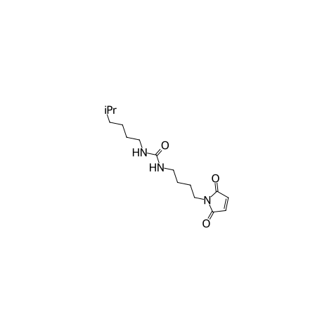 CC(C)CCCCNC(=O)NCCCCN1C(=O)C=CC1=O